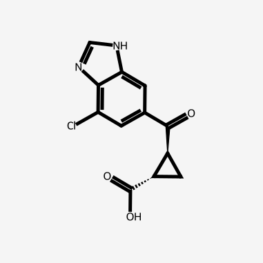 O=C(O)[C@H]1C[C@@H]1C(=O)c1cc(Cl)c2nc[nH]c2c1